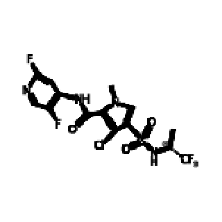 C[C@@H](NS(=O)(=O)c1cn(C)c(C(=O)Nc2cc(F)ncc2F)c1Cl)C(F)(F)F